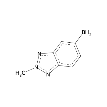 Bc1ccc2nn(C)nc2c1